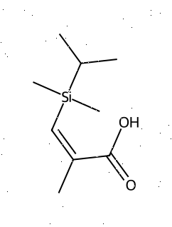 CC(=C[Si](C)(C)C(C)C)C(=O)O